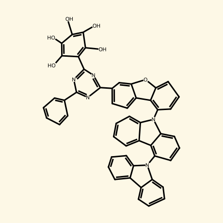 Oc1c(O)c(O)c(-c2nc(-c3ccccc3)nc(-c3ccc4c(c3)oc3cccc(-n5c6ccccc6c6c(-n7c8ccccc8c8ccccc87)cccc65)c34)n2)c(O)c1O